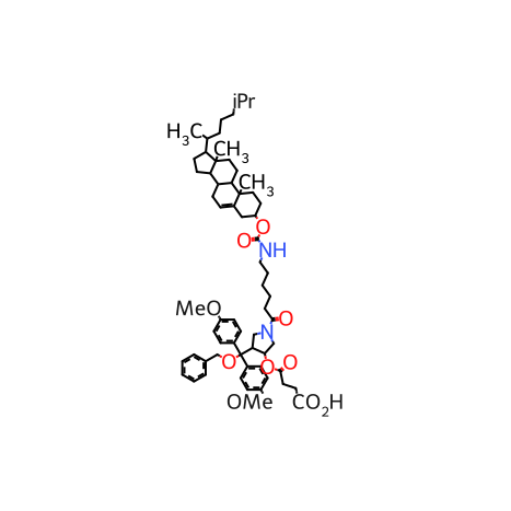 COc1ccc(C(OCc2ccccc2)(c2ccc(OC)cc2)C2CN(C(=O)CCCCCNC(=O)OC3CCC4(C)C(=CCC5C4CCC4(C)C(C(C)CCCC(C)C)CCC54)C3)CC2OC(=O)CCC(=O)O)cc1